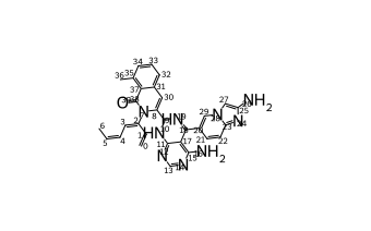 C=C/C(=C\C=C/C)n1c(CNc2ncnc(N)c2C(=N)c2ccc3nc(N)cn3c2)cc2cccc(C)c2c1=O